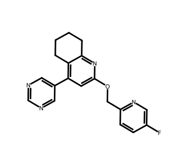 Fc1ccc(COc2cc(-c3cncnc3)c3c(n2)CCCC3)nc1